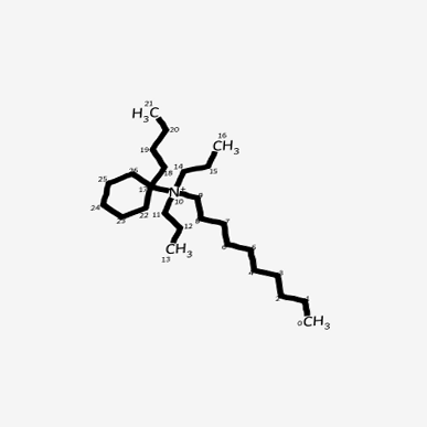 CCCCCCCCCC[N+](CCC)(CCC)C1(CCCC)CCCCC1